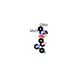 COc1ccc(CN(c2nccs2)S(=O)(=O)c2ccc3c(c2)OCCC3N2CCCC[C@H]2c2ccc(F)cc2)c(OC)c1